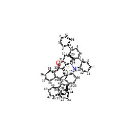 c1ccc(-c2ccc(-c3ccccc3N(c3ccc(-c4ccccc4)cc3)c3cccc4oc5c6ccccc6c(-c6cccc7ccccc67)cc5c34)cc2)cc1